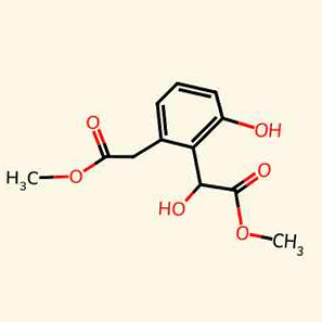 COC(=O)Cc1cccc(O)c1C(O)C(=O)OC